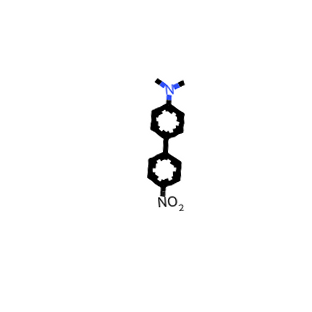 CN(C)c1ccc(-c2ccc([N+](=O)[O-])cc2)cc1